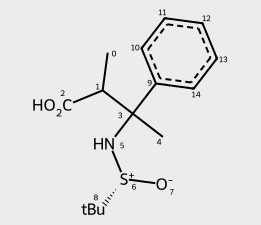 CC(C(=O)O)C(C)(N[S@+]([O-])C(C)(C)C)c1ccccc1